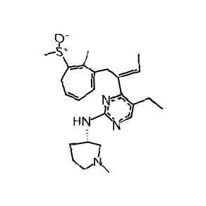 C/C=C(\CC1=CC=CCC([S+](C)[O-])=C1C)c1nc(N[C@H]2CCCN(C)C2)ncc1CC